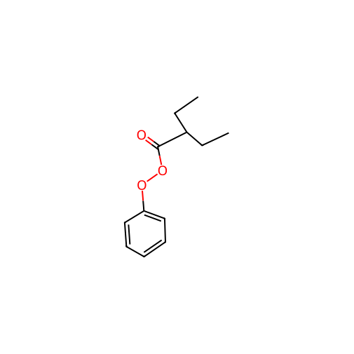 CCC(CC)C(=O)OOc1ccccc1